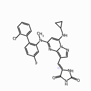 CN(c1cc(NC2CC2)n2ncc(/C=C3\NC(=O)NC3=O)c2n1)c1cc(F)ccc1-c1ccccc1Cl